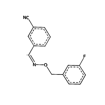 N#Cc1cccc(/[C]=N\OCc2cccc(F)c2)c1